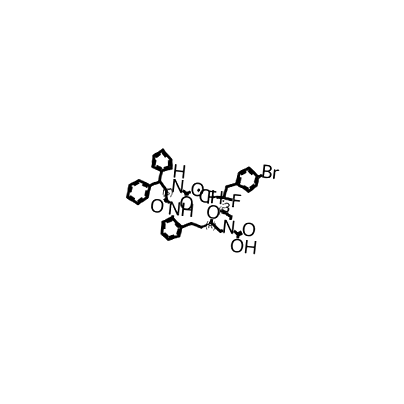 COC(=O)N[C@H](C(=O)Nc1ccccc1CC[C@@H]1CN(C(=O)O)C[C@@H](C(F)(F)Cc2ccc(Br)cc2)O1)C(c1ccccc1)c1ccccc1